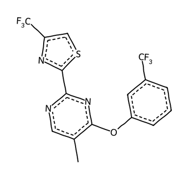 Cc1cnc(-c2nc(C(F)(F)F)cs2)nc1Oc1cccc(C(F)(F)F)c1